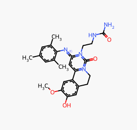 COc1cc2c(cc1O)CCn1c-2c/c(=N\c2c(C)cc(C)cc2C)n(CCNC(N)=O)c1=O